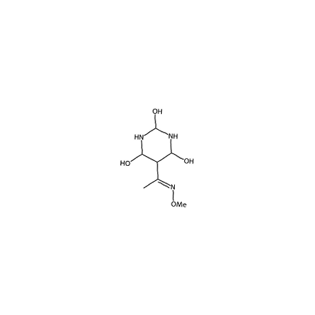 CON=C(C)C1C(O)NC(O)NC1O